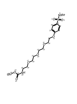 CNS(=O)(=O)c1ccc(OCCOCCOCCOCCNC(=O)OC(C)(C)C)cc1